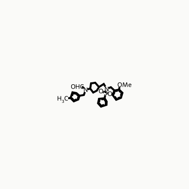 COc1ccccc1CN(CC1CCC(N(C=O)Cc2ccc(C)cc2)CC1)S(=O)(=O)c1ccccc1